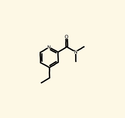 CCc1ccnc(C(=O)N(C)C)c1